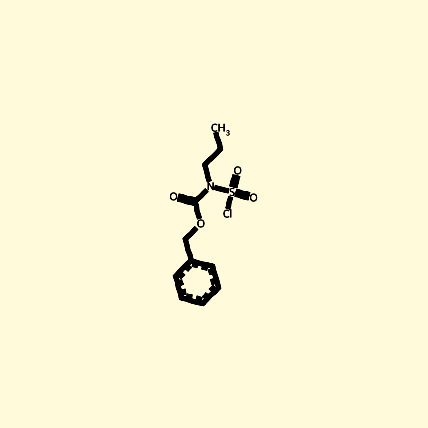 CCCN(C(=O)OCc1ccccc1)S(=O)(=O)Cl